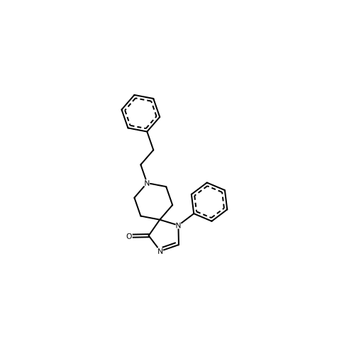 O=C1N=CN(c2ccccc2)C12CCN(CCc1ccccc1)CC2